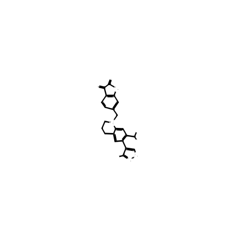 Cc1n[nH]cc1-c1cc2c(cc1C(F)F)N(Cc1ccc3c(c1)NC(=O)C3=O)CCC2